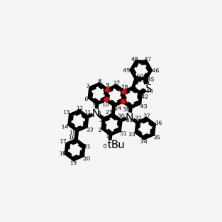 CC(C)(C)c1cc(N(c2ccccc2)c2cccc(-c3ccccc3)c2)c(-c2ccccc2)c(N(c2ccccc2)c2ccc3c(c2)sc2ccccc23)c1